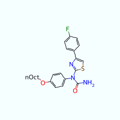 CCCCCCCCOc1ccc(N(C(N)=O)c2nc(-c3ccc(F)cc3)cs2)cc1